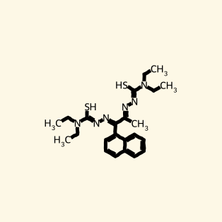 CCN(CC)/C(S)=N/N=C(C)/C(=N/N=C(\S)N(CC)CC)c1cccc2ccccc12